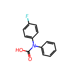 O=C(O)N(c1ccccc1)c1ccc(F)cc1